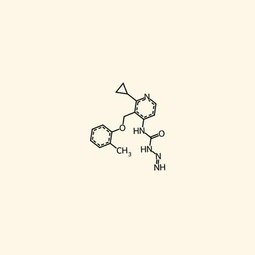 Cc1ccccc1OCc1c(NC(=O)NN=N)ccnc1C1CC1